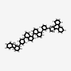 c1cc(-c2cnc3c4ccccc4c4ccccc4c3n2)cc(-c2cccc3c(-c4cccc5c(-c6ccc(-c7cccc8c7oc7ccccc78)cc6)cccc45)cccc23)c1